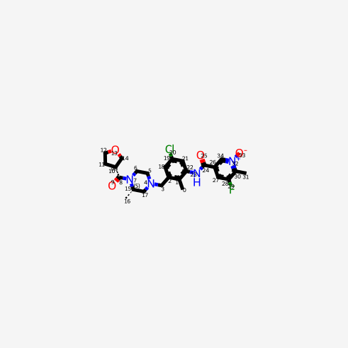 Cc1c(CN2CCN(C(=O)[C@@H]3CCOC3)[C@@H](C)C2)cc(Cl)cc1NC(=O)c1cc(F)c(C)[n+]([O-])c1